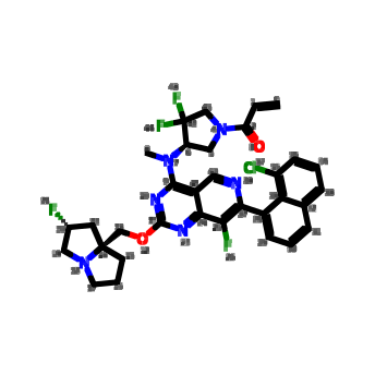 C=CC(=O)N1C[C@@H](N(C)c2nc(OC[C@@]34CCCN3C[C@H](F)C4)nc3c(F)c(-c4cccc5cccc(Cl)c45)ncc23)C(F)(F)C1